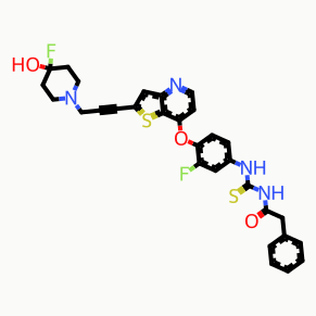 O=C(Cc1ccccc1)NC(=S)Nc1ccc(Oc2ccnc3cc(C#CCN4CCC(O)(F)CC4)sc23)c(F)c1